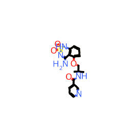 CC(C)(COc1cccc2c1C(N)=NS(=O)(=O)N2)NC(=O)c1cccnc1